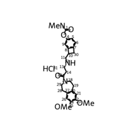 CNC(=O)Oc1ccc2c(c1)C(CNCCC(=O)N1CCc3cc(OC)c(OC)cc3CC1)C2.Cl